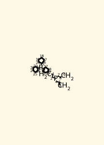 C=CCP(CC=C)CC=C.c1ccc(P(c2ccccc2)c2ccccc2)cc1